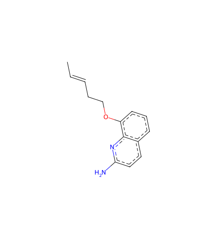 CC=CCCOc1cccc2ccc(N)nc12